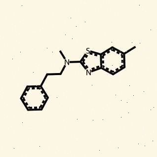 Cc1ccc2nc(N(C)CCc3ccccc3)sc2c1